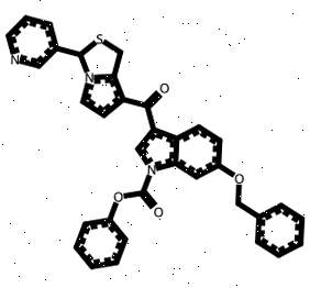 O=C(c1ccn2c1CSC2c1cccnc1)c1cn(C(=O)Oc2ccccc2)c2cc(OCc3ccccc3)ccc12